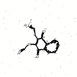 C=CCC1=C(OC=O)C(=O)c2ccccc2C1=O